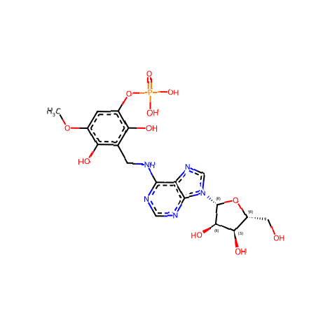 COc1cc(OP(=O)(O)O)c(O)c(CNc2ncnc3c2ncn3[C@@H]2O[C@H](CO)[C@@H](O)[C@H]2O)c1O